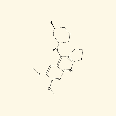 COc1cc2nc3c(c(N[C@H]4CCC[C@H](C)C4)c2cc1OC)CCC3